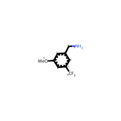 COc1cc(CN)cc(C(F)(F)F)c1